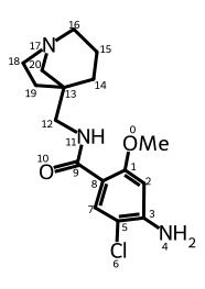 COc1cc(N)c(Cl)cc1C(=O)NCC12CCCN(CC1)C2